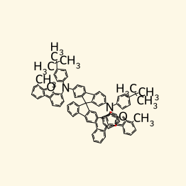 Cc1cccc2c1oc1c(N(c3ccc(C(C)(C)C)cc3)c3ccc4c(c3)C3(c5ccccc5-c5cc6c7ccccc7c7ccccc7c6cc53)c3cc(N(c5ccc(C(C)(C)C)cc5)c5cccc6c5oc5c(C)cccc56)ccc3-4)cccc12